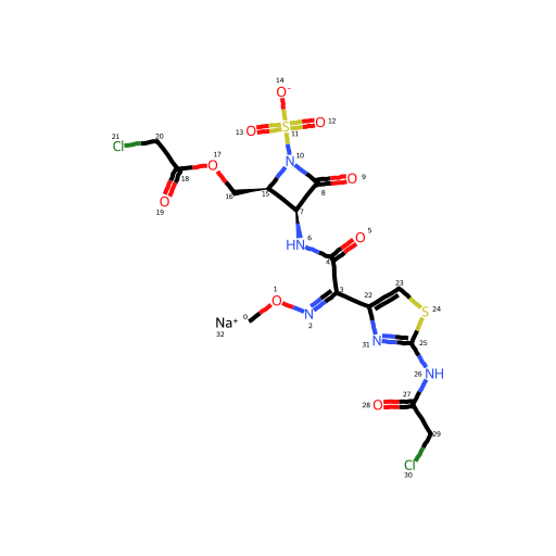 CON=C(C(=O)N[C@@H]1C(=O)N(S(=O)(=O)[O-])[C@@H]1COC(=O)CCl)c1csc(NC(=O)CCl)n1.[Na+]